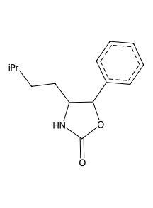 CC(C)CCC1NC(=O)OC1c1ccccc1